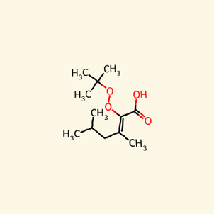 CC(CC(C)C)=C(OOC(C)(C)C)C(=O)O